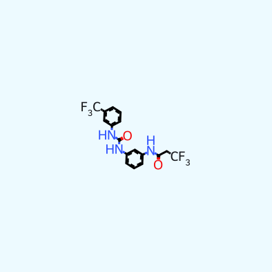 O=C(CC(F)(F)F)Nc1cccc(NC(=O)Nc2cccc(C(F)(F)F)c2)c1